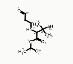 CC(O)OC(=O)C(NCCC=O)C(C)(C)S